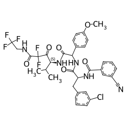 COc1ccc(C(NC(=O)C(Cc2cccc(Cl)c2)NC(=O)c2cccc(C#N)c2)C(=O)N[C@H](C(=O)C(F)(F)C(=O)NCC(F)(F)F)C(C)C)cc1